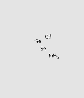 [Cd].[InH3].[Se].[Se]